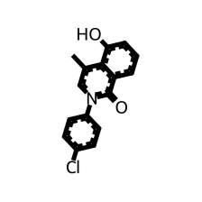 Cc1cn(-c2ccc(Cl)cc2)c(=O)c2cccc(O)c12